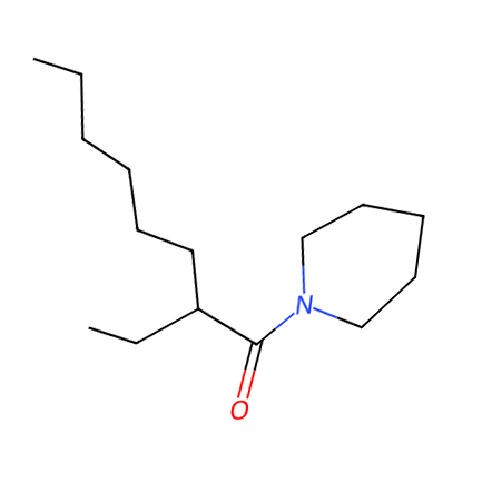 CCCCCCC(CC)C(=O)N1CCCCC1